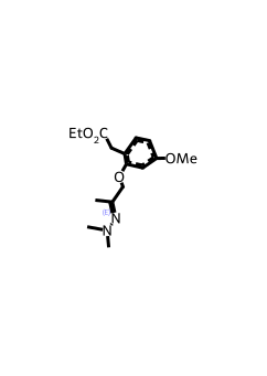 CCOC(=O)Cc1ccc(OC)cc1OC/C(C)=N/N(C)C